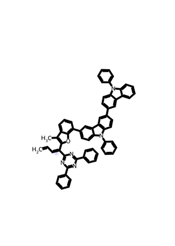 C=C/C=C(/c1nc(-c2ccccc2)nc(-c2ccccc2)n1)c1oc2c(-c3ccc4c(c3)c3cc(-c5ccc6c(c5)c5ccccc5n6-c5ccccc5)ccc3n4-c3ccccc3)cccc2c1C